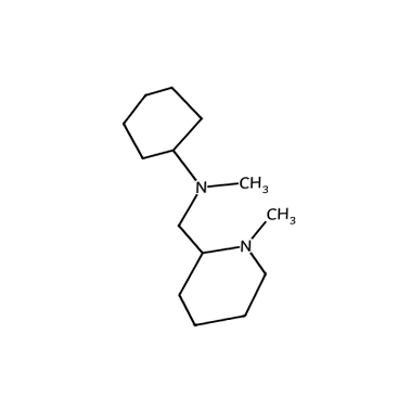 CN1CCCCC1CN(C)C1CCCCC1